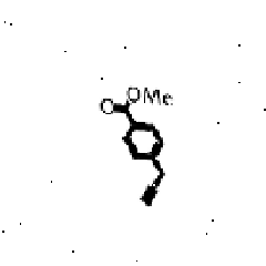 C#CCc1ccc(C(=O)OC)cc1